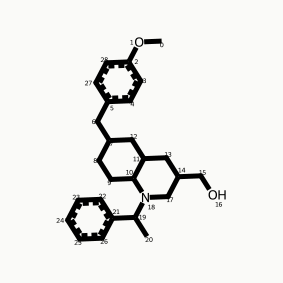 COc1ccc(CC2CCC3C(C2)CC(CO)CN3C(C)c2ccccc2)cc1